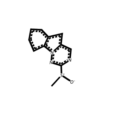 C[S+]([O-])c1ncc2cc3ccccc3n2n1